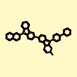 CC1C=Cc2c(n(-c3ccc(-c4ccccc4)cc3)c3ccc(-c4ccc5c(c4)c4ccccc4n5-c4ccc5ccccc5c4)cc23)C1